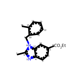 CCOC(=O)c1ccc2nc(C)n(Cc3ccccc3C)c2c1